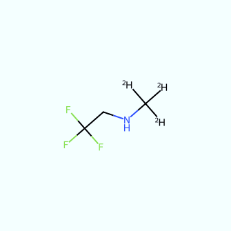 [2H]C([2H])([2H])NCC(F)(F)F